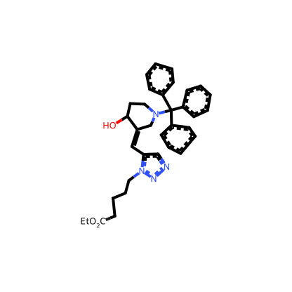 CCOC(=O)CCCCn1nncc1/C=C1\CN(C(c2ccccc2)(c2ccccc2)c2ccccc2)CCC1O